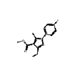 CCc1nn(-c2ccc(F)cc2)c(C)c1C(=O)OC